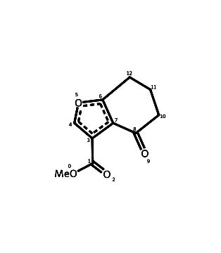 COC(=O)c1coc2c1C(=O)CCC2